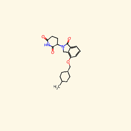 CC1CCC(COc2cccc3c2CN(C2CCC(=O)NC2=O)C3=O)CC1